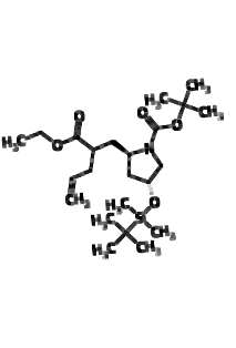 C=CCC(C[C@@H]1C[C@@H](O[Si](C)(C)C(C)(C)C)CN1C(=O)OC(C)(C)C)C(=O)OCC